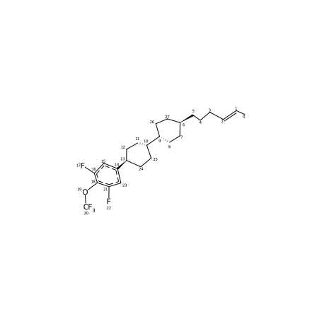 C/C=C/CCC[C@H]1CC[C@H]([C@H]2CC[C@H](c3cc(F)c(OC(F)(F)F)c(F)c3)CC2)CC1